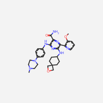 COc1cccnc1-c1nc(C(N)=O)c(Nc2ccc(N3CCN(C)CC3)cc2)nc1NC1CCC2(CC1)COC2